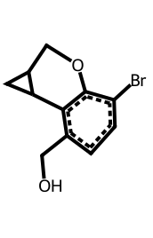 OCc1ccc(Br)c2c1C1CC1CO2